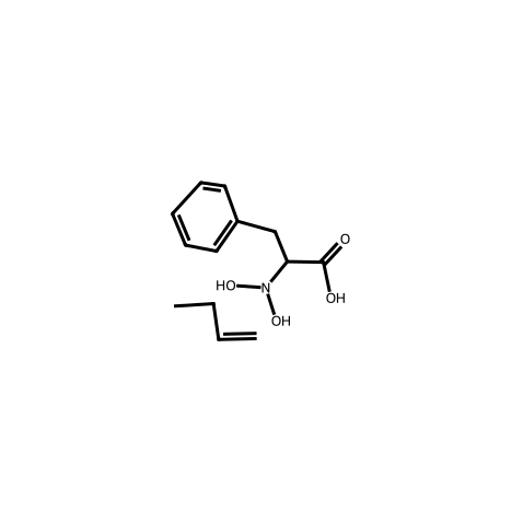 C=CCC.O=C(O)C(Cc1ccccc1)N(O)O